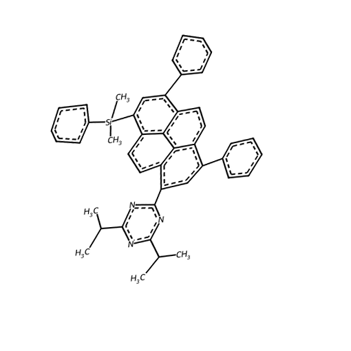 CC(C)c1nc(-c2cc(-c3ccccc3)c3ccc4c(-c5ccccc5)cc([Si](C)(C)c5ccccc5)c5ccc2c3c45)nc(C(C)C)n1